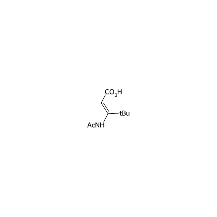 CC(=O)NC(=CC(=O)O)C(C)(C)C